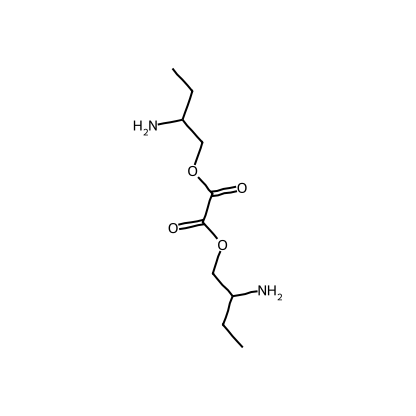 CCC(N)COC(=O)C(=O)OCC(N)CC